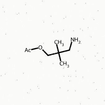 CC(=O)OCC(C)(C)CN